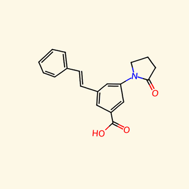 O=C(O)c1cc(C=Cc2ccccc2)cc(N2CCCC2=O)c1